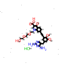 COc1cc(Cc2cnc(N)nc2N)cc(C#Cc2ccc3c(=O)c(C(=O)O)cn(CCOCCOCCO)c3c2)c1OC.Cl